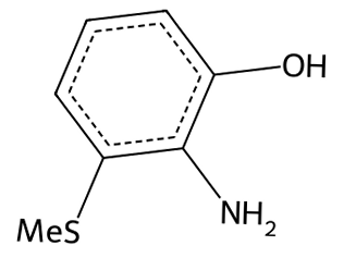 CSc1cccc(O)c1N